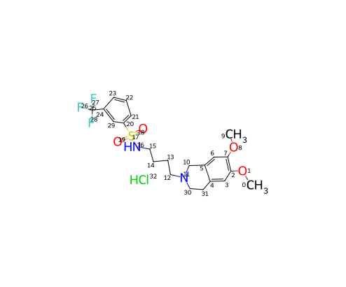 COc1cc2c(cc1OC)CN(CCCCNS(=O)(=O)c1cccc(C(F)(F)F)c1)CC2.Cl